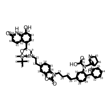 CC(C)(C)[Si](C)(C)O[C@@H](CNCCc1ccc2c(c1)oc(=O)n2CCC=Cc1ccc(-c2ccccc2)c(N(C(=O)O)[C@H]2CN3CCC2CC3)c1)c1ccc(O)c2[nH]c(=O)ccc12